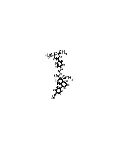 COc1c(C(=O)CCCc2ccc(N3C[C@@H](C)O[C@@H](C)C3)nc2)cnc2c(-c3ccc(C#N)cc3)cccc12